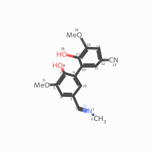 C/N=C/c1cc(OC)c(O)c(-c2cc(C#N)cc(OC)c2O)c1